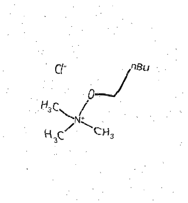 CCCCCO[N+](C)(C)C.[Cl-]